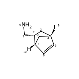 NC[C@@H]1C[C@@H]2C=C[C@H]1C2